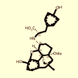 CO[C@@]12CC[C@@H](N[C@@H](Cc3ccc(O)cc3)C(=O)O)[C@@H]3Oc4c(O)ccc5c4[C@@]31CCN(C)C2C5